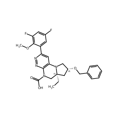 CC[C@@]12C[C@@H](OCc3ccccc3)CN1c1cc(-c3cc(F)cc(F)c3OC)nnc1N(C(=O)O)C2